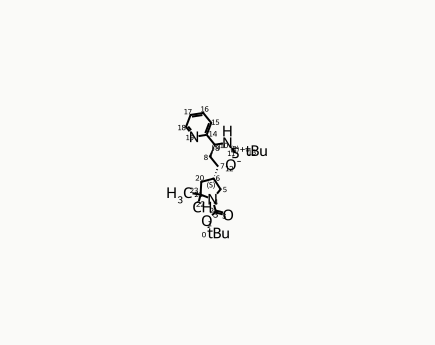 CC(C)(C)OC(=O)N1C[C@@H](CC[C@H](N[S@@+]([O-])C(C)(C)C)c2ccccn2)CC1(C)C